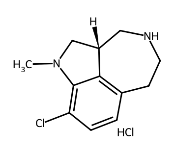 CN1C[C@@H]2CNCCc3ccc(Cl)c1c32.Cl